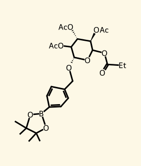 CCC(=O)OC1O[C@H](OCc2ccc(B3OC(C)(C)C(C)(C)O3)cc2)C(OC(C)=O)[C@H](OC(C)=O)[C@H]1OC(C)=O